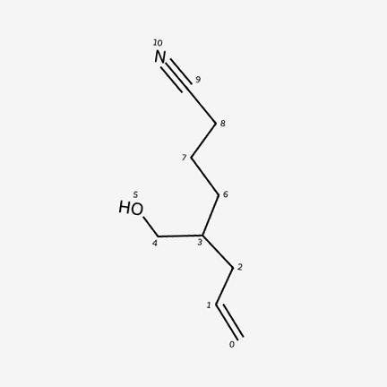 C=CCC(CO)CCCC#N